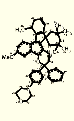 COc1ccc2c3c(c4c(c2c1)OC(c1ccccc1)(c1ccc(N2CCOCC2)cc1)C=C4)C1(CC(C)(C)CC(C)(C)C1)C1=C3C(C)CC=C1